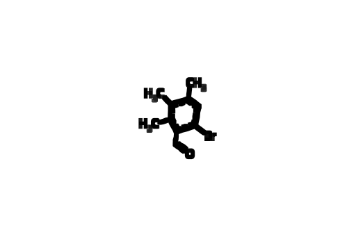 Cc1cc(Br)c(C=O)c(C)c1C